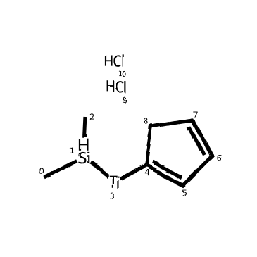 C[SiH](C)[Ti][C]1=CC=CC1.Cl.Cl